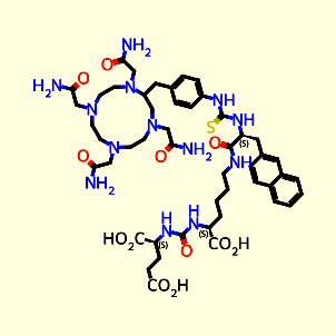 NC(=O)CN1CCN(CC(N)=O)CCN(CC(N)=O)C(Cc2ccc(NC(=S)N[C@@H](Cc3ccc4ccccc4c3)C(=O)NCCCC[C@H](NC(=O)N[C@@H](CCC(=O)O)C(=O)O)C(=O)O)cc2)CN(CC(N)=O)CC1